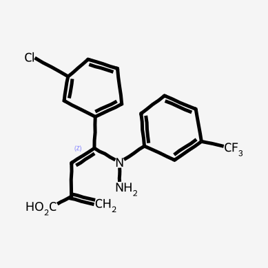 C=C(/C=C(/c1cccc(Cl)c1)N(N)c1cccc(C(F)(F)F)c1)C(=O)O